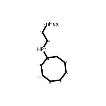 CCCCCCCCPC1CCCCCCC1